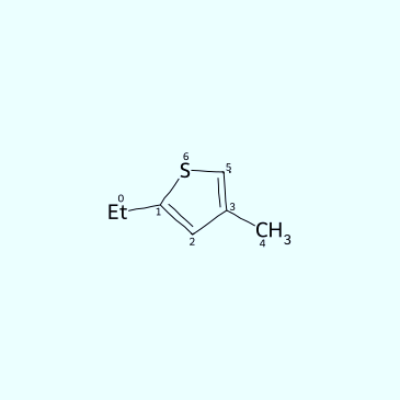 CCc1cc(C)[c]s1